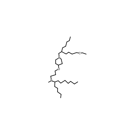 CCCCCCCC(CCCCC)CN1CCC(OCCCN(C)C(CCCCC)CCCCCCC)CC1